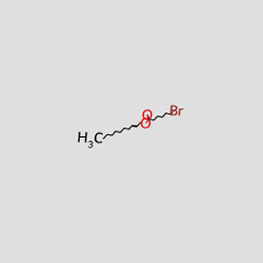 CCCCCCCC/C=C/COC(=O)CCCCCBr